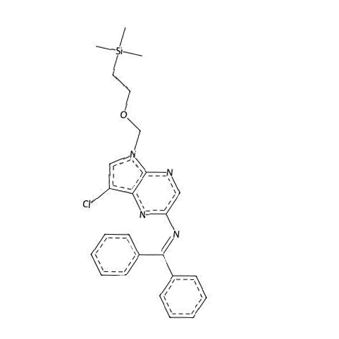 C[Si](C)(C)CCOCn1cc(Cl)c2nc(N=C(c3ccccc3)c3ccccc3)cnc21